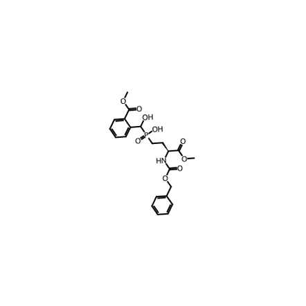 COC(=O)c1ccccc1C(O)P(=O)(O)CC[C@H](NC(=O)OCc1ccccc1)C(=O)OC